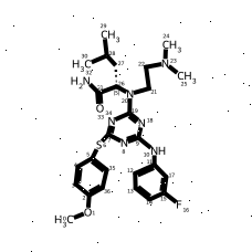 COc1ccc(Sc2nc(Nc3cccc(F)c3)nc(N(CCN(C)C)[C@@H](CC(C)C)C(N)=O)n2)cc1